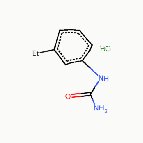 CCc1cccc(NC(N)=O)c1.Cl